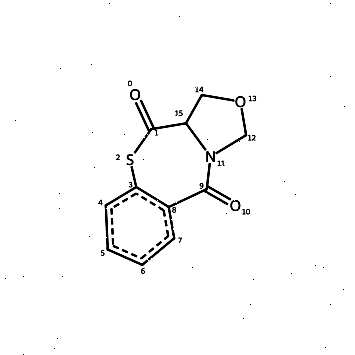 O=C1Sc2ccccc2C(=O)N2COCC12